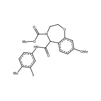 COc1ccc2c(c1)OCCN(C(=O)OC(C)(C)C)C2C(=O)Nc1ccc(C(C)(C)C)c(F)c1